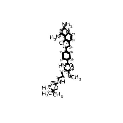 COC(=O)[C@H](CCCNC(=O)OC(C)(C)C)NC(=O)c1ccc(CCc2ccc3nc(N)nc(N)c3c2Cl)cc1